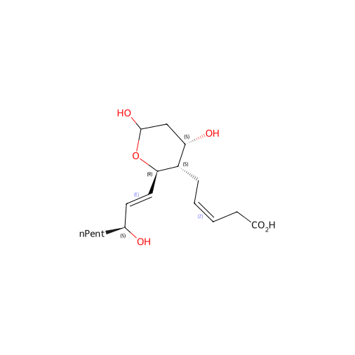 CCCCC[C@H](O)/C=C/[C@H]1OC(O)C[C@H](O)[C@@H]1C/C=C\CC(=O)O